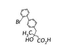 CC(O)(CC(=O)O)Cc1ccc(-c2ccccc2Br)cc1